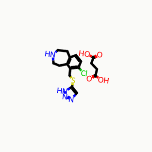 Clc1ccc2c(c1CSc1cnn[nH]1)CCNCC2.O=C(O)CCC(=O)O